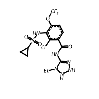 CCN1NNN=C1NC(=O)c1ccc(OC(F)(F)F)c(NS(=O)(=O)C2CC2)c1Cl